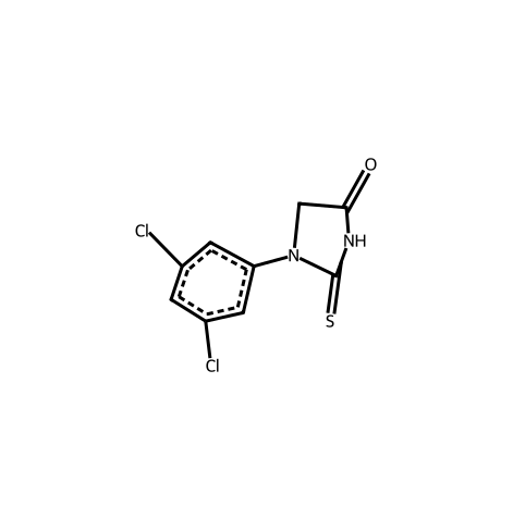 O=C1CN(c2cc(Cl)cc(Cl)c2)C(=S)N1